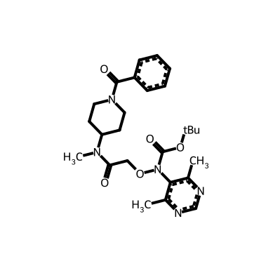 Cc1ncnc(C)c1N(OCC(=O)N(C)C1CCN(C(=O)c2ccccc2)CC1)C(=O)OC(C)(C)C